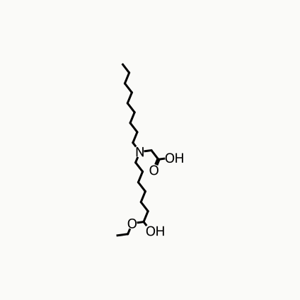 CCCCCCCCCN(CCCCCCC(O)OCC)CC(=O)O